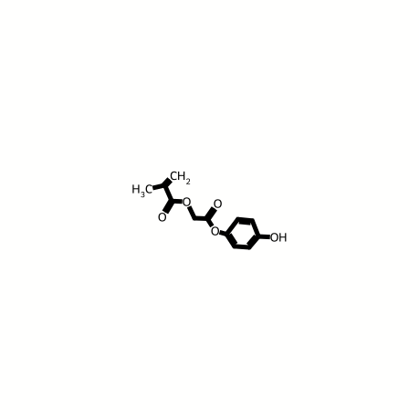 C=C(C)C(=O)OCC(=O)Oc1ccc(O)cc1